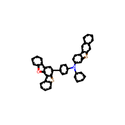 c1ccc(N(c2ccc(-c3cc4c5ccccc5oc4c4c3sc3ccccc34)cc2)c2ccc3c(c2)sc2cc4ccccc4cc23)cc1